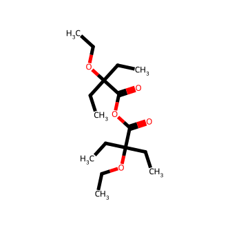 CCOC(CC)(CC)C(=O)OC(=O)C(CC)(CC)OCC